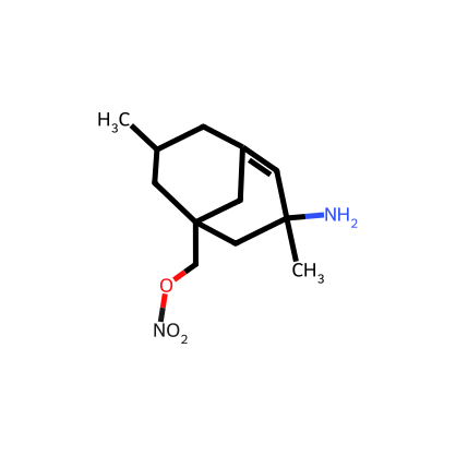 CC1CC2=CC(C)(N)CC(CO[N+](=O)[O-])(C2)C1